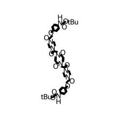 CC(C)(C)OC(=O)Nc1ccc(OCC(=O)N2CCN(C(=O)CN3/C=C\C(=O)N(CC(=O)N4CCN(C(=O)COc5ccc(NC(=O)OC(C)(C)C)cc5)CC4)/C=C\C3=O)CC2)cc1